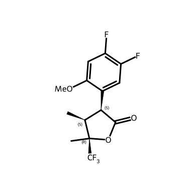 COc1cc(F)c(F)cc1[C@H]1C(=O)O[C@@](C)(C(F)(F)F)[C@H]1C